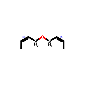 C/C=C\[SiH2]O[SiH2]/C=C\C